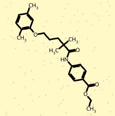 CCOC(=O)c1ccc(NC(=O)C(C)(C)CCCOc2cc(C)ccc2C)cc1